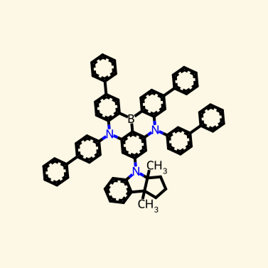 CC12CCCC1(C)N(c1cc3c4c(c1)N(c1cccc(-c5ccccc5)c1)c1cc(-c5ccccc5)ccc1B4c1cc(-c4ccccc4)ccc1N3c1ccc(-c3ccccc3)cc1)c1ccccc12